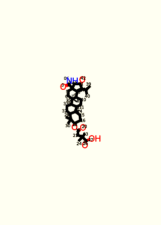 CNC(=O)C12CC[C@]3(C)C(CCC4[C@@]5(C)CC[C@H](OC(=O)CC(C)(C)C(=O)O)C(C)(C)C5CC[C@]43C)C1=C(C(C)C)C(=O)C2